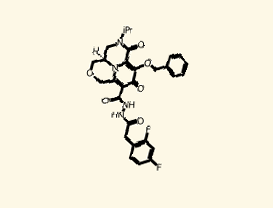 CC(C)N1C[C@@H]2COCc3c(C(=O)NNC(=O)Cc4ccc(F)cc4F)c(=O)c(OCc4ccccc4)c(n32)C1=O